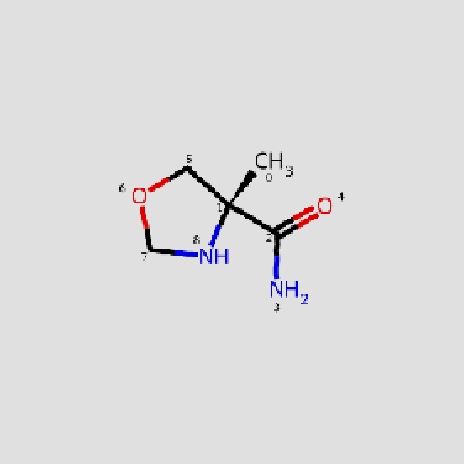 C[C@]1(C(N)=O)COCN1